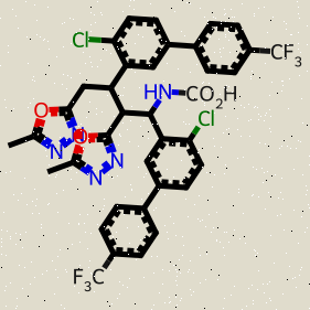 Cc1nnc(CC(c2cc(-c3ccc(C(F)(F)F)cc3)ccc2Cl)C(c2nnc(C)o2)C(NC(=O)O)c2cc(-c3ccc(C(F)(F)F)cc3)ccc2Cl)o1